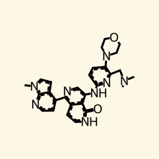 CN(C)Cc1nc(Nc2cnc(-c3ccnc4c3ccn4C)c3cc[nH]c(=O)c23)ccc1N1CCOCC1